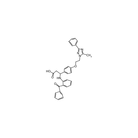 Cc1nc(-c2ccccc2)nn1CCOc1ccc(C(CC(=O)O)Nc2ccccc2C(=O)c2ccccc2)cc1